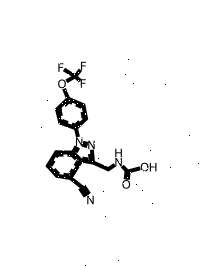 N#Cc1cccc2c1c(CNC(=O)O)nn2-c1ccc(OC(F)(F)F)cc1